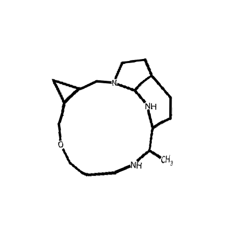 CC1NCCCOCC2CC2CN2CCC3CCC1NC32